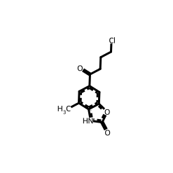 Cc1cc(C(=O)CCCCl)cc2oc(=O)[nH]c12